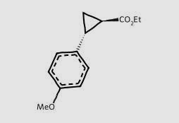 CCOC(=O)[C@@H]1C[C@H]1c1ccc(OC)cc1